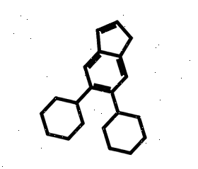 C1=Cc2cc(C3CCCCC3)c(C3CCCCC3)cc2C1